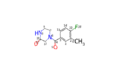 Cc1cc(C(=O)N2CCNC(=O)C2)ccc1F